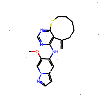 C=C1CCCCCSc2ncnc(Nc3cc4ccnn4cc3OC)c21